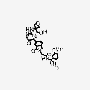 COc1cccc(C(C)NC(=O)CN2Cc3ccc(-c4nc(NC5(CO)COC5)ncc4Cl)cc3C2=O)c1